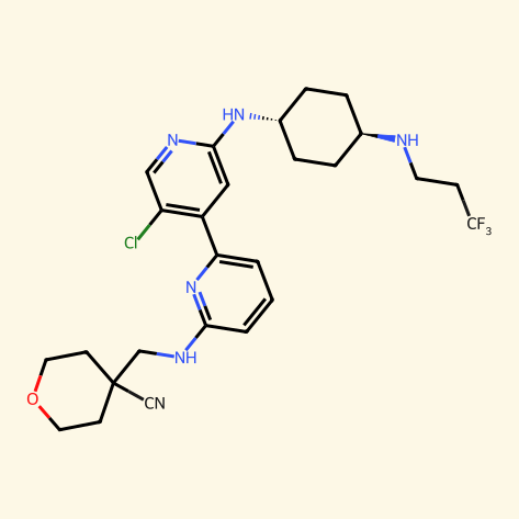 N#CC1(CNc2cccc(-c3cc(N[C@H]4CC[C@H](NCCC(F)(F)F)CC4)ncc3Cl)n2)CCOCC1